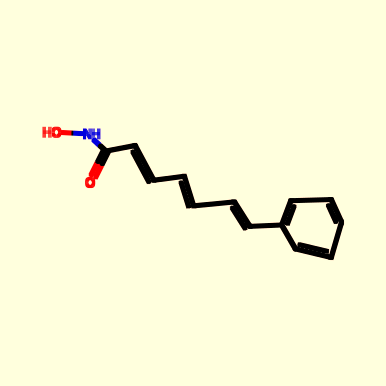 O=C(C=CC=CC=Cc1ccccc1)NO